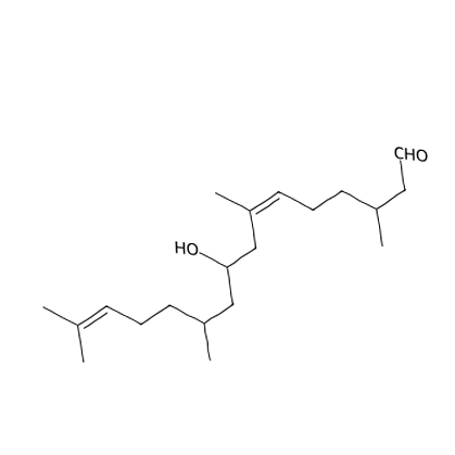 CC(C)=CCCC(C)CC(O)CC(C)=CCCC(C)CC=O